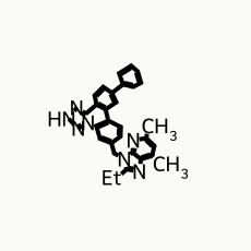 CCc1nc2c(C)cc(C)nc2n1Cc1ccc(-c2cc(-c3ccccc3)ccc2-c2nn[nH]n2)cc1